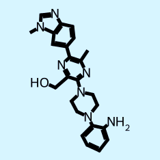 Cc1nc(N2CCN(c3ccccc3N)CC2)c(CO)nc1-c1ccc2ncn(C)c2c1